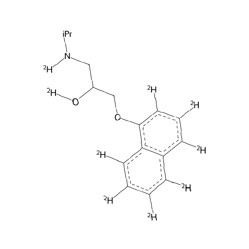 [2H]OC(COc1c([2H])c([2H])c([2H])c2c([2H])c([2H])c([2H])c([2H])c12)CN([2H])C(C)C